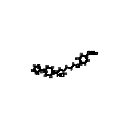 COc1ccc(OCCCCCCN2CCN(c3nccs3)CC2)cc1.Cl